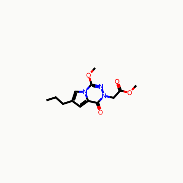 CCCc1cc2c(=O)n(CC(=O)OC)nc(OC)n2c1